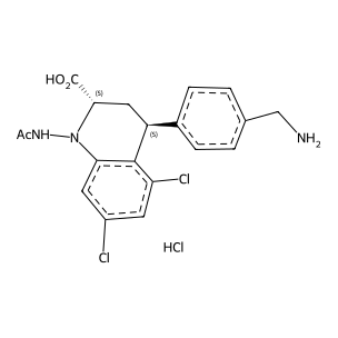 CC(=O)NN1c2cc(Cl)cc(Cl)c2[C@H](c2ccc(CN)cc2)C[C@H]1C(=O)O.Cl